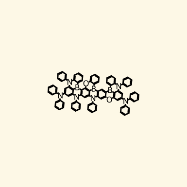 c1ccc(N(c2ccccc2)c2cc3c4c(c2)N(c2ccccc2)c2ccccc2B4c2cc4c(cc2O3)N(c2ccccc2)c2cc3c(c5c2B4c2ccccc2O5)B2c4ccccc4N(c4ccccc4)c4cc(N(c5ccccc5)c5ccccc5)cc(c42)N3c2ccccc2)cc1